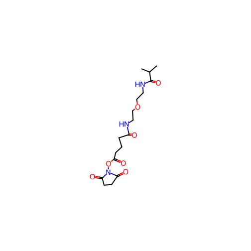 CC(C)C(=O)NCCOCCNC(=O)CCCC(=O)ON1C(=O)CCC1=O